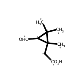 CC1(C)C(C=O)C1(C)CC(=O)O